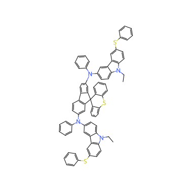 CCn1c2ccc(Sc3ccccc3)cc2c2cc(N(c3ccccc3)c3ccc4c(c3)C3(c5ccccc5Sc5ccccc53)c3cc(N(c5ccccc5)c5ccc6c(c5)c5cc(Sc7ccccc7)ccc5n6CC)ccc3-4)ccc21